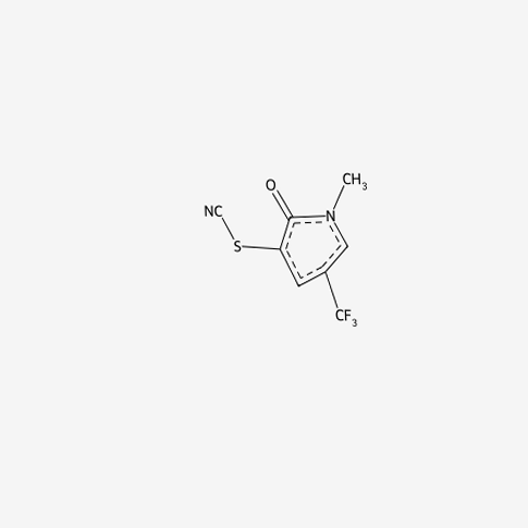 Cn1cc(C(F)(F)F)cc(SC#N)c1=O